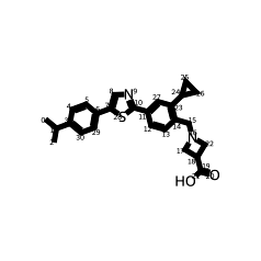 CC(C)c1ccc(-c2cnc(-c3ccc(CN4CC(C(=O)O)C4)c(C4CC4)c3)s2)cc1